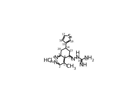 Cc1cnnc2c1/C(=N/NC(=N)N)CC(c1ccsc1)C2.Cl